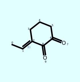 C/C=C1\CCCC(=O)C1=O